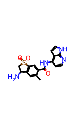 Cc1cc2c(cc1C(=O)Nc1ccnc3[nH]ccc13)S(=O)(=O)CC2N